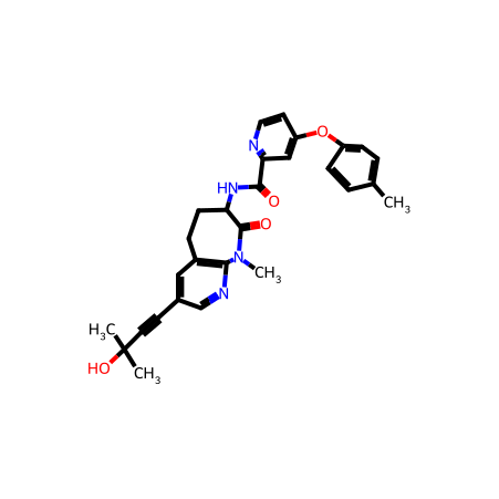 Cc1ccc(Oc2ccnc(C(=O)NC3CCc4cc(C#CC(C)(C)O)cnc4N(C)C3=O)c2)cc1